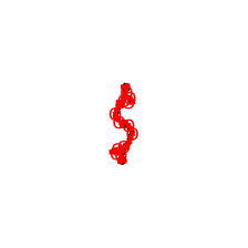 C=CC(=O)OC(C)(C)C(COc1ccccc1)COC(C)(C)C(C)(C)CCCCOC(C)(C)CCOc1ccc(OCCC(C)(C)OCCCCC(C)(C)C(C)(C)OCC(COc2ccccc2)C(C)(C)OC(=O)C=C)cc1